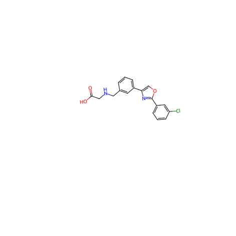 O=C(O)CNCc1cccc(-c2coc(-c3cccc(Cl)c3)n2)c1